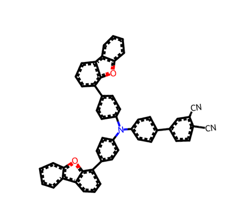 N#Cc1ccc(-c2ccc(N(c3ccc(-c4cccc5c4oc4ccccc45)cc3)c3ccc(-c4cccc5c4oc4ccccc45)cc3)cc2)cc1C#N